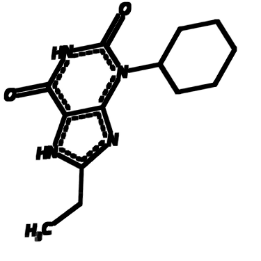 CCc1nc2c([nH]1)c(=O)[nH]c(=O)n2C1CCCCC1